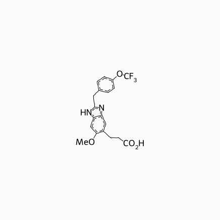 COc1cc2[nH]c(Cc3ccc(OC(F)(F)F)cc3)nc2cc1CCC(=O)O